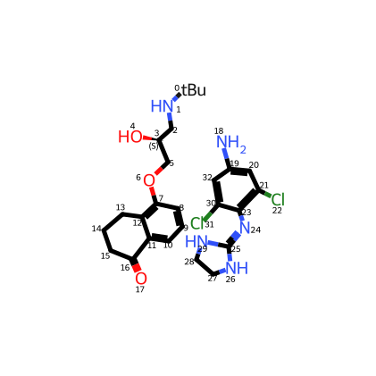 CC(C)(C)NC[C@H](O)COc1cccc2c1CCCC2=O.Nc1cc(Cl)c(N=C2NCCN2)c(Cl)c1